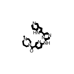 CN1CCCN(C(=O)c2ccc(Nc3cncc(-c4cc5cnccc5[nH]4)n3)nc2)CC1